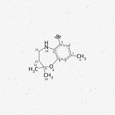 Cc1cc(Br)c2c(c1)OC(C)(C)CCN2